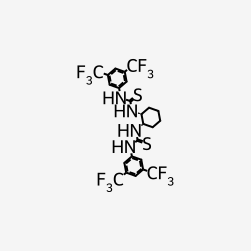 FC(F)(F)c1cc(NC(=S)N[C@H]2CCCC[C@H]2NC(=S)Nc2cc(C(F)(F)F)cc(C(F)(F)F)c2)cc(C(F)(F)F)c1